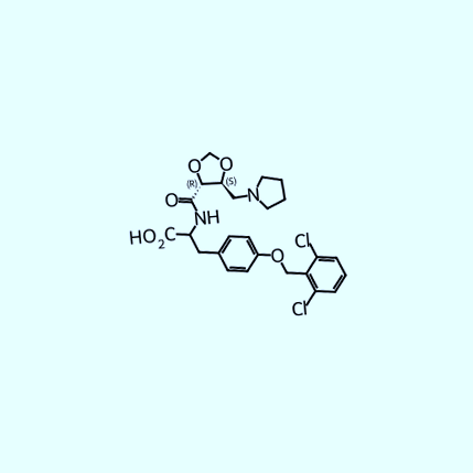 O=C(O)C(Cc1ccc(OCc2c(Cl)cccc2Cl)cc1)NC(=O)[C@@H]1OCO[C@H]1CN1CCCC1